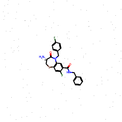 N[C@H]1CSc2cc(F)c(C(=O)NCc3ccccc3)cc2N(Cc2ccc(F)cc2)C1=O